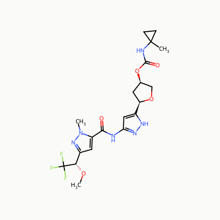 CO[C@@H](c1cc(C(=O)Nc2cc([C@H]3C[C@@H](OC(=O)NC4(C)CC4)CO3)[nH]n2)n(C)n1)C(F)(F)F